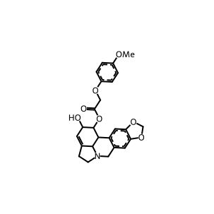 COc1ccc(OCC(=O)OC2C(O)C=C3CCN4Cc5cc6c(cc5C2C34)OCO6)cc1